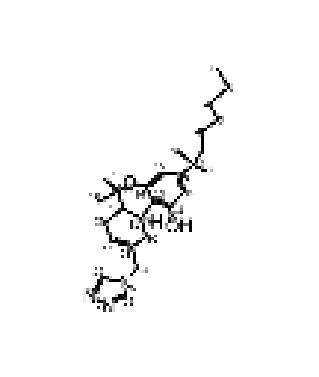 CCCCCCC(C)(C)c1cc(O)c2c(c1)OC(C)(C)C1CC=C(Cn3cnnc3)C[C@H]21